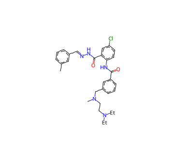 CCN(CC)CCN(C)Cc1cccc(C(=O)Nc2ccc(Cl)cc2C(=O)NN=Cc2cccc(C)c2)c1